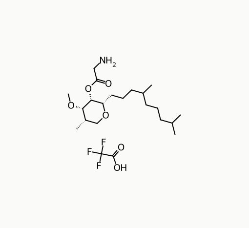 CO[C@@H]1[C@H](OC(=O)CN)[C@H](CCCC(C)CCCC(C)C)OC[C@@H]1C.O=C(O)C(F)(F)F